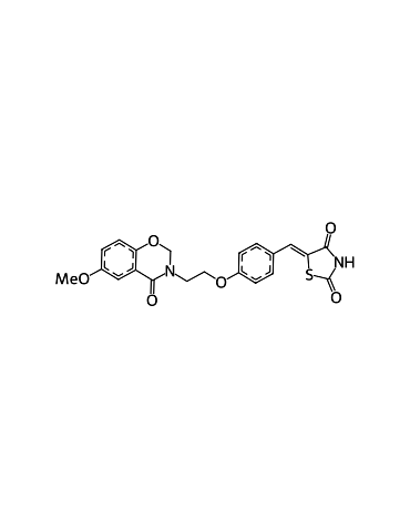 COc1ccc2c(c1)C(=O)N(CCOc1ccc(/C=C3\SC(=O)NC3=O)cc1)CO2